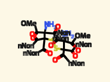 CCCCCCCCCC(=O)C(SSC(C(=O)CCCCCCCCC)(C(=O)CCCCCCCCC)[C@@](N)(C(=O)CCCCCCCCC)C(=O)OC)(C(=O)CCCCCCCCC)[C@@](N)(C(=O)CCCCCCCCC)C(=O)OC